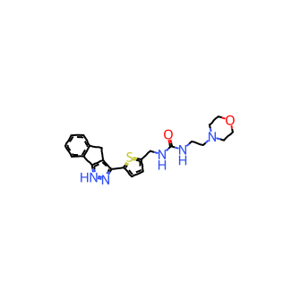 O=C(NCCN1CCOCC1)NCc1ccc(-c2n[nH]c3c2Cc2ccccc2-3)s1